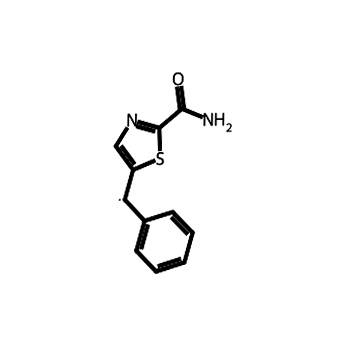 NC(=O)c1ncc([CH]c2ccccc2)s1